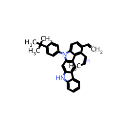 C=Cc1ccc2c(c1/C=C\C)c1cc3c(cc1n2-c1ccc(C(C)(C)C)cc1)[nH]c1ccccc13